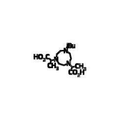 CCC(C)N1CCN(C(C)C(=O)O)CCN(C(C)C(=O)O)CC1